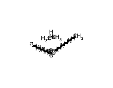 CCCCCCCCCCCCCOS(=O)(=O)CCCCCCCCCF.CNC